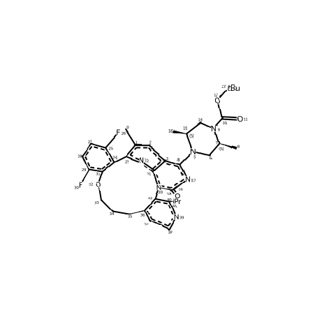 Cc1cc2c(N3C[C@H](C)N(C(=O)OC(C)(C)C)C[C@@H]3C)nc(=O)n3c2nc1-c1c(F)ccc(F)c1OCCCc1ccnc(C(C)C)c1-3